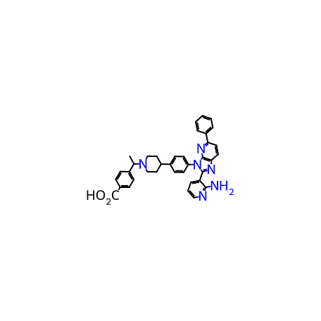 CC(c1ccc(C(=O)O)cc1)N1CCC(c2ccc(-n3c(-c4cccnc4N)nc4ccc(-c5ccccc5)nc43)cc2)CC1